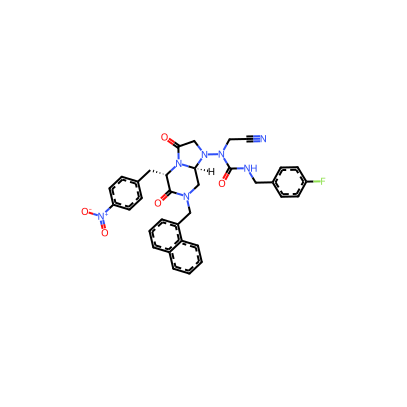 N#CCN(C(=O)NCc1ccc(F)cc1)N1CC(=O)N2[C@@H](Cc3ccc([N+](=O)[O-])cc3)C(=O)N(Cc3cccc4ccccc34)C[C@@H]21